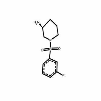 N[C@H]1CCCN(S(=O)(=O)c2cccc(F)c2)C1